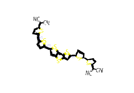 N#CC(C#N)=C1C=CC(C2C=C/C(=c3/cc4sc5c/c(=c6\cc/c(=c7\ccc(=C(C#N)C#N)s7)s6)sc5c4s3)S2)S1